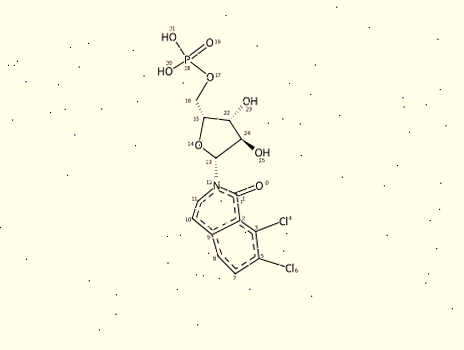 O=c1c2c(Cl)c(Cl)ccc2ccn1[C@@H]1O[C@H](COP(=O)(O)O)[C@H](O)[C@H]1O